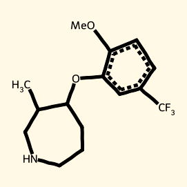 COc1ccc(C(F)(F)F)cc1OC1CCCNCC1C